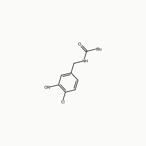 CC(C)(C)C(=O)NCc1ccc(Cl)c(N=O)c1